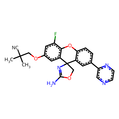 CC(C)(C#N)COc1cc(F)c2c(c1)C1(COC(N)=N1)c1cc(-c3cnccn3)ccc1O2